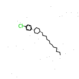 CCCCCCCCCCCC[C@H]1CC[C@H](c2ccc(Cl)cc2)CC1